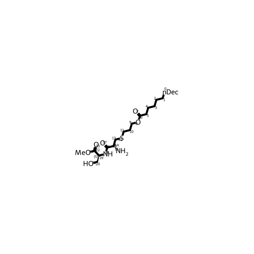 CCCCCCCCCCCCCCCC(=O)OCCCSC[C@H](N)C(=O)N[C@@H](CO)C(=O)OC